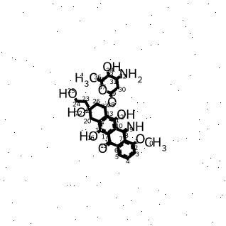 COc1cccc2c1C(=N)c1c(O)c3c(c(O)c1C2=O)C[C@@](O)(CCO)C[C@@H]3OC1CC(N)C(O)C(C)O1